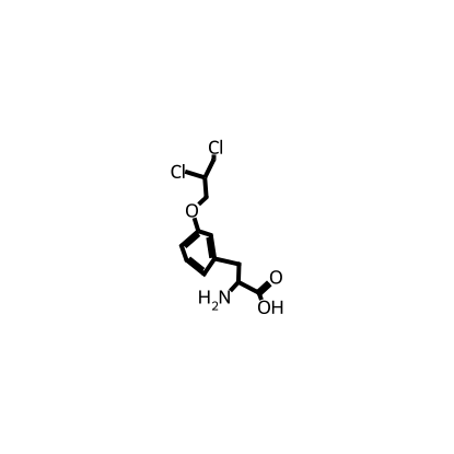 NC(Cc1cccc(OCC(Cl)CCl)c1)C(=O)O